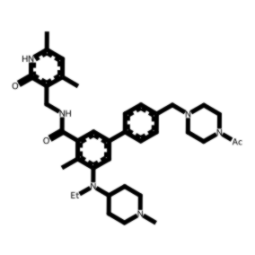 CCN(c1cc(-c2ccc(CN3CCN(C(C)=O)CC3)cc2)cc(C(=O)NCc2c(C)cc(C)[nH]c2=O)c1C)C1CCN(C)CC1